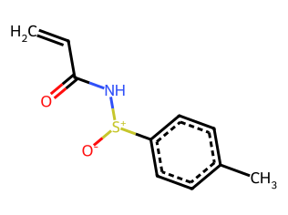 C=CC(=O)N[S+]([O-])c1ccc(C)cc1